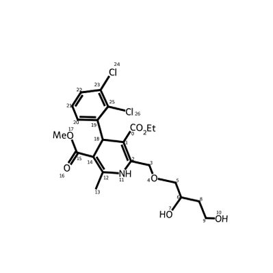 CCOC(=O)C1=C(COCC(O)CCO)NC(C)=C(C(=O)OC)C1c1cccc(Cl)c1Cl